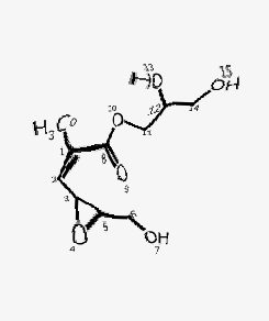 CC(=CC1OC1CO)C(=O)OCC(O)CO